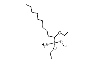 CCCCCCCCCC(OCC)C([SiH3])(OCC)OCC